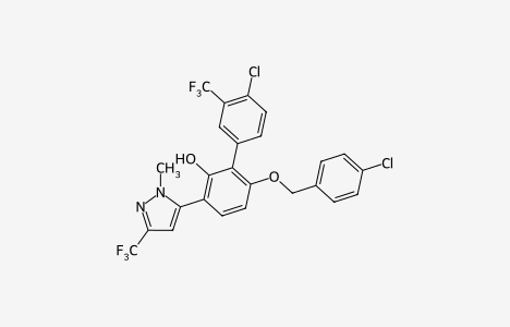 Cn1nc(C(F)(F)F)cc1-c1ccc(OCc2ccc(Cl)cc2)c(-c2ccc(Cl)c(C(F)(F)F)c2)c1O